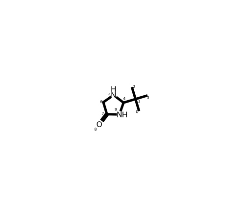 CC(C)(C)[C]1NCC(=O)N1